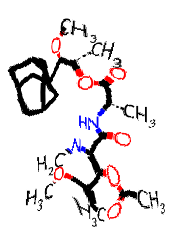 C=N/C(C(=O)N[C@@H](C)C(=O)O[C@@H](C)[C@H](OC)C12CC3CC(CC(C3)C1)C2)=C(OC(C)=O)\C(=C/C)OC